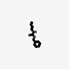 C=CC=CNC(=O)OCc1ccccc1